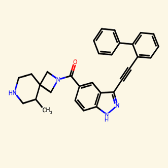 CC1CNCCC12CN(C(=O)c1ccc3[nH]nc(C#Cc4ccccc4-c4ccccc4)c3c1)C2